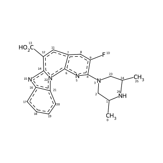 CC1CN(c2nc3c(cc2F)cc(C(=O)O)c2nc4ccccc4n23)CC(C)N1